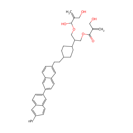 C=C(CO)C(=O)OCC(COC(O)C(=C)CO)C1CCC(CCc2ccc3cc(-c4ccc5cc(CCC)ccc5c4)ccc3c2)CC1